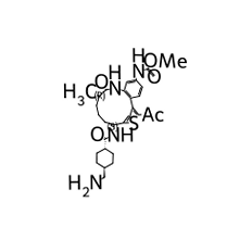 COC(=O)Nc1ccc2c(c1)NC(=O)[C@H](C)CCC[C@H](NC(=O)[C@H]1CC[C@H](CN)CC1)c1cc-2c(C(C)=O)s1